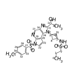 CCCS(=O)(=O)NC12CC(n3c(C(C)O)nc4cnc5c(ccn5S(=O)(=O)c5ccc(C)cc5)c43)(C1)C2